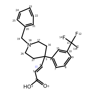 O=C(O)/C=C/C1(c2cccc(C(F)(F)F)c2)CCN(Cc2ccccc2)CC1